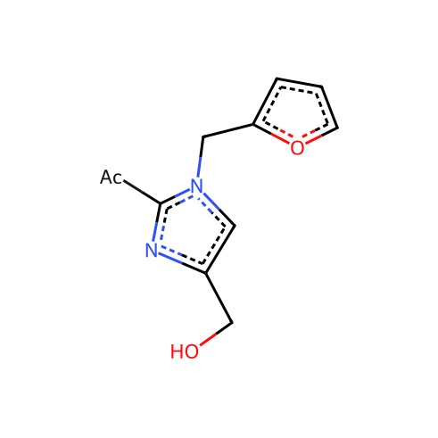 CC(=O)c1nc(CO)cn1Cc1ccco1